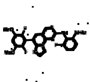 COc1cc(OC)c(F)c(-c2cc3cnc(Nc4c(F)cccc4NC(C)=O)nc3n3ccnc23)c1F